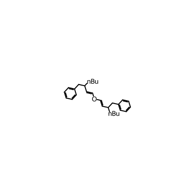 CCCCC(C=COC=CC(CCCC)Cc1ccccc1)Cc1ccccc1